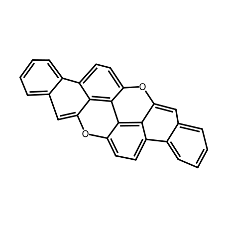 c1ccc2c(c1)cc1oc3ccc4c5ccccc5cc5oc6ccc2c1c6-c3c54